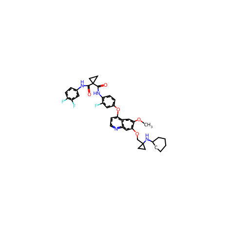 COc1cc2c(Oc3ccc(NC(=O)C4(C(=O)Nc5ccc(F)c(F)c5)CC4)c(F)c3)ccnc2cc1OCC1(NC2CCCCC2)CC1